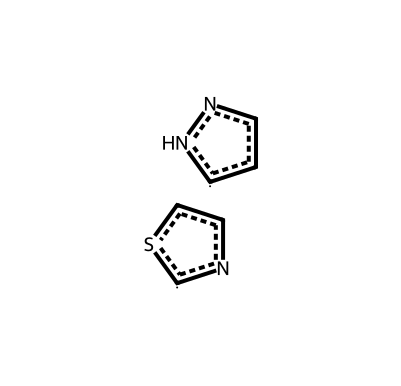 [c]1ccn[nH]1.[c]1nccs1